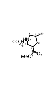 CC(=O)O.COC(=O)C1CNCC(F)C1